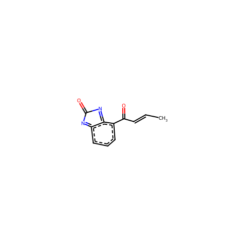 CC=CC(=O)c1cccc2c1=NC(=O)N=2